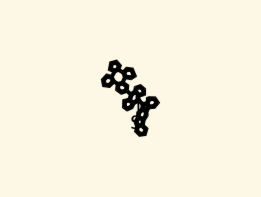 c1ccc2c(c1)-c1ccccc1-c1ccc(-c3c4ccccc4c(-n4c5ccccc5c5cc6c(cc54)sc4ccccc46)c4ccccc34)cc1-c1ccccc1-2